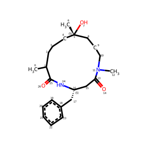 CC1CCC[C@](C)(O)CCCN(C)C(=O)C[C@H](Cc2ccccc2)NC1=O